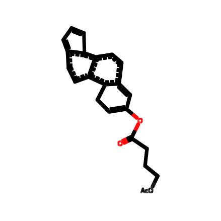 CC(=O)OCCCC(=O)OC1=CCc2c(ccc3c4c(ccc23)=CC=C4)=C1